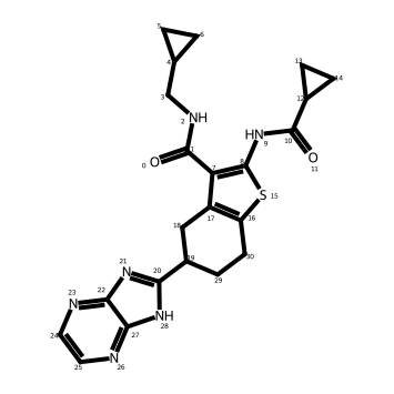 O=C(NCC1CC1)c1c(NC(=O)C2CC2)sc2c1CC(c1nc3nccnc3[nH]1)CC2